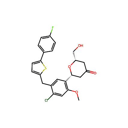 COc1cc(Cl)c(Cc2ccc(-c3ccc(F)cc3)s2)cc1[C@H]1CC(=O)C[C@@H](CO)O1